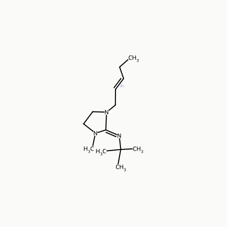 CC/C=C/CN1CCN(C)C1=NC(C)(C)C